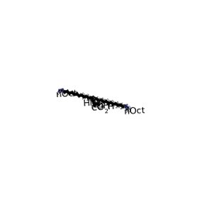 CCCCCCCC/C=C\CCCCCCCCCCCCP(CCCCCCCCCCCC/C=C\CCCCCCCC)NC(CO)C(=O)O